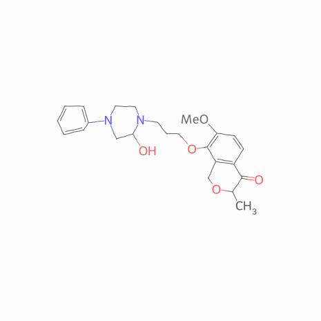 COc1ccc2c(c1OCCCN1CCN(c3ccccc3)CC1O)COC(C)C2=O